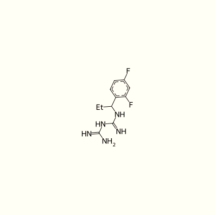 CCC(NC(=N)NC(=N)N)c1ccc(F)cc1F